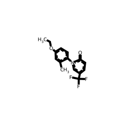 CCOc1ccc(-n2cc(C(F)(F)F)ccc2=O)c(C)c1